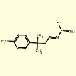 CC(C)(C/C=N/[S+]([O-])C(C)(C)C)c1ccc(C(F)(F)F)cc1